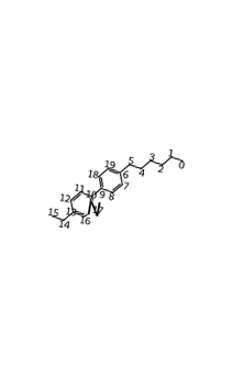 CCCCCCc1ccc(-c2ccc(CC)cn2)cc1